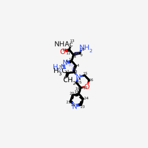 C=C(C)\C(=C/C(=N\N)C(=C/N)/C(=O)NC(C)=O)N1CCOC(c2ccncc2)C1